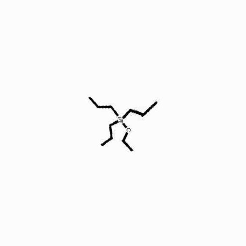 CCC[Si](CCC)(CCC)OCC